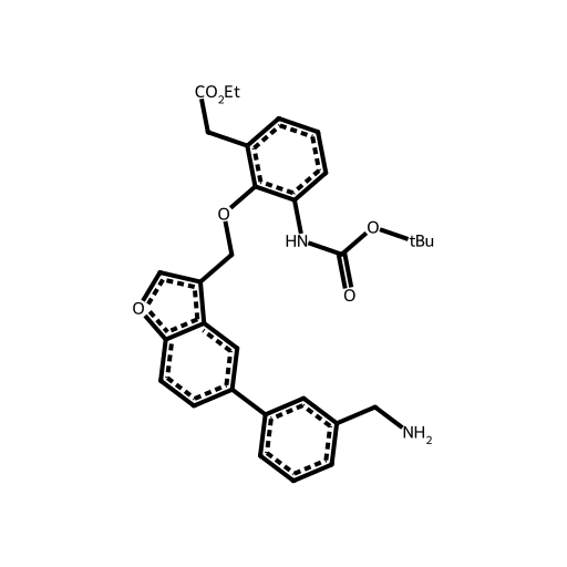 CCOC(=O)Cc1cccc(NC(=O)OC(C)(C)C)c1OCc1coc2ccc(-c3cccc(CN)c3)cc12